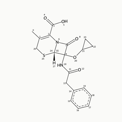 CC1=C(C(=O)O)N2C(=O)C(NC(=O)Cc3ccccc3)(OC3CC3)[C@@H]2SC1